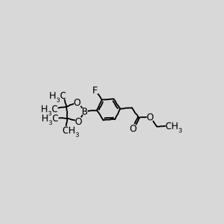 CCOC(=O)Cc1ccc(B2OC(C)(C)C(C)(C)O2)c(F)c1